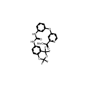 COC(=O)c1cc(Oc2cccc(NC(=O)Nc3ccc4c(c3)C(F)(F)OC(F)(F)O4)c2)ccn1